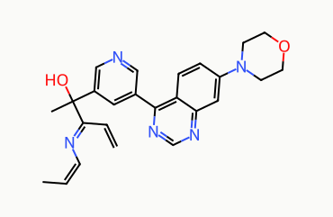 C=C/C(=N\C=C/C)C(C)(O)c1cncc(-c2ncnc3cc(N4CCOCC4)ccc23)c1